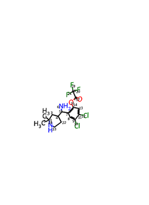 CC1(C)CC(C(N)c2cc(Cl)c(Cl)cc2OC(=O)C(F)(F)F)CCN1